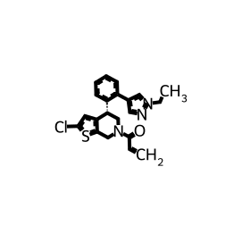 C=CC(=O)N1Cc2sc(Cl)cc2[C@H](c2ccccc2-c2cnn(CC)c2)C1